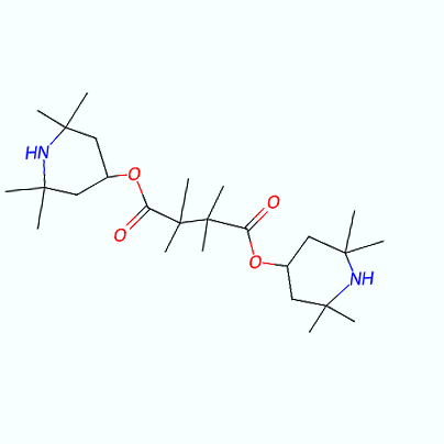 CC1(C)CC(OC(=O)C(C)(C)C(C)(C)C(=O)OC2CC(C)(C)NC(C)(C)C2)CC(C)(C)N1